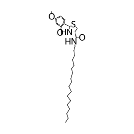 CCCCCCCCCCCCCCCCCCNC(=O)[C@@H]1CSC(c2ccc(OC)cc2OC)N1